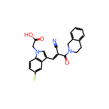 N#CC(=Cc1cn(CC(=O)O)c2ccc(F)cc12)C(=O)N1CCc2ccccc2C1